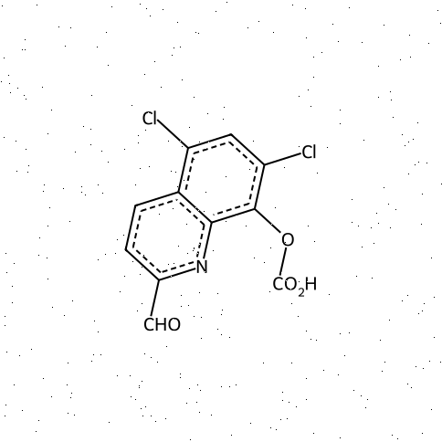 O=Cc1ccc2c(Cl)cc(Cl)c(OC(=O)O)c2n1